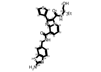 CC[C@@H](CO)NC(=O)c1c(-c2ccsc2)nc2c(C(=O)NCc3ccc4nc(N)sc4c3)cccn12